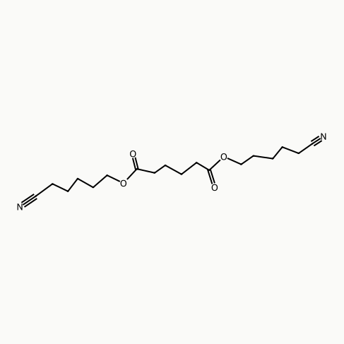 N#CCCCCCOC(=O)CCCCC(=O)OCCCCCC#N